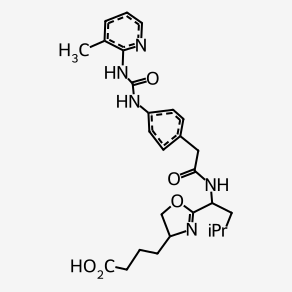 Cc1cccnc1NC(=O)Nc1ccc(CC(=O)NC(CC(C)C)C2=NC(CCCC(=O)O)CO2)cc1